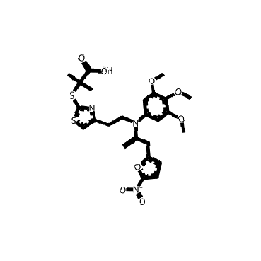 C=C(Cc1ccc([N+](=O)[O-])o1)N(CCc1csc(SC(C)(C)C(=O)O)n1)c1cc(OC)c(OC)c(OC)c1